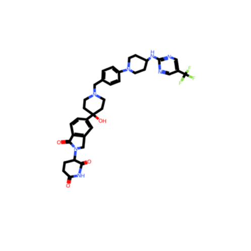 O=C1CCC(N2Cc3cc(C4(O)CCN(Cc5ccc(N6CCC(Nc7ncc(C(F)(F)F)cn7)CC6)cc5)CC4)ccc3C2=O)C(=O)N1